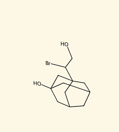 OCC(Br)C12CC3CC(CC(O)(C3)C1)C2